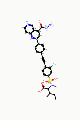 CCC(C)C(C(=O)O)N(C)S(=O)(=O)c1ccc(C#Cc2ccc(-c3cc(C(=O)NN)c4cnccc4n3)cc2)c(F)c1